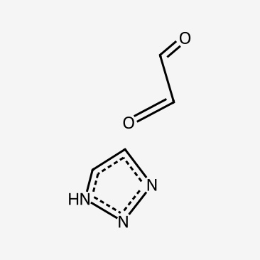 O=CC=O.c1c[nH]nn1